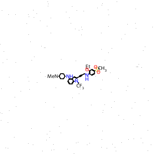 CCOc1cc(S(C)(=O)=O)ccc1NCC#Cc1cc2c(N[C@H]3CC[C@H](NC)CC3)cccc2n1CC(F)(F)F